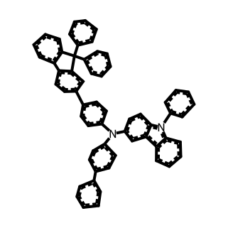 c1ccc(-c2ccc(N(c3ccc(-c4ccc5c(c4)C(c4ccccc4)(c4ccccc4)c4ccccc4-5)cc3)c3ccc4c(c3)c3ccccc3n4-c3ccccc3)cc2)cc1